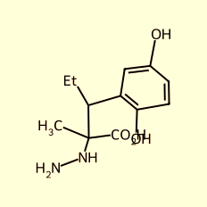 CCC(c1cc(O)ccc1O)C(C)(NN)C(=O)O